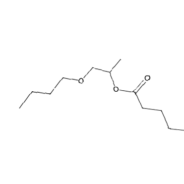 CCCCOCC(C)OC(=O)CCCC